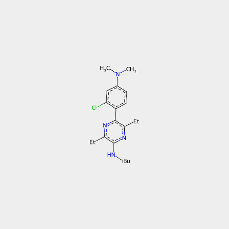 CCc1nc(-c2ccc(N(C)C)cc2Cl)c(CC)nc1NC(C)CC